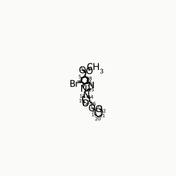 COC(=O)c1cc(Br)c2nc(N3CCOC(COC4CCCCO4)C3)cnc2c1